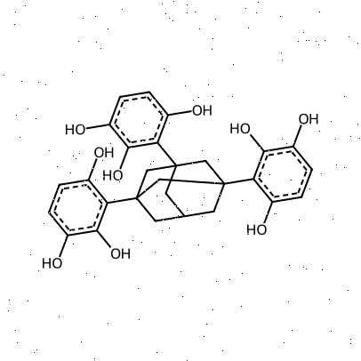 Oc1ccc(O)c(C23CC4CC(c5c(O)ccc(O)c5O)(C2)CC(c2c(O)ccc(O)c2O)(C4)C3)c1O